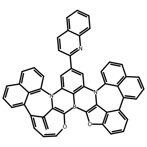 C=c1c2n3c4cccc5cccc(/c1=C/C=C\OC=2B1c2c-3cc(-c3ccc6ccccc6n3)cc2-n2c3cccc6cccc(c7cccc8oc1c2c87)c63)c54